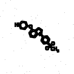 CS(=O)(=O)c1ccc(N2CCc3c(OC4CCNCC4)cccc32)cc1